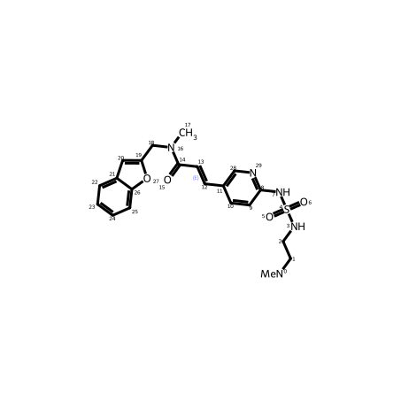 CNCCNS(=O)(=O)Nc1ccc(/C=C/C(=O)N(C)Cc2cc3ccccc3o2)cn1